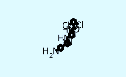 Nc1ccc(-c2ccnc(Nc3cccc(NC(=O)c4c(Cl)cccc4Cl)c3)n2)cc1